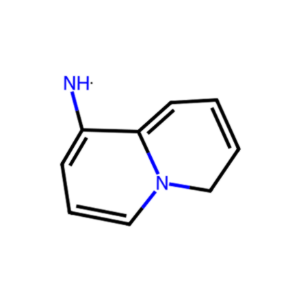 [NH]C1=CC=CN2CC=CC=C12